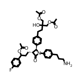 CC(=O)OCC(O)(CCc1ccc([C@@H]2[C@@H](CCC(OC(C)=O)c3ccc(F)cc3)C(=O)N2c2ccc(CCCN)cc2)cc1)COC(C)=O